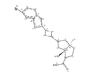 O=C(O)N1CC[C@@H]2CN(C3CC(c4nc5ccc(Br)cc5s4)C3)C[C@H]21